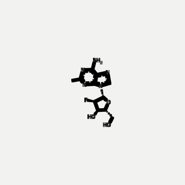 Cc1nc(N)c2ncn([C@@H]3O[C@H](CO)[C@@H](O)[C@H]3F)c2n1